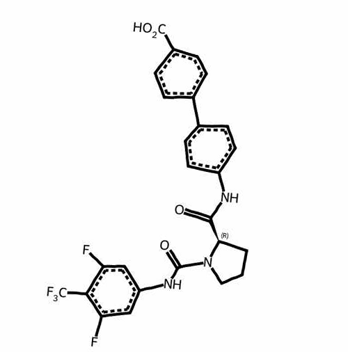 O=C(O)c1ccc(-c2ccc(NC(=O)[C@H]3CCCN3C(=O)Nc3cc(F)c(C(F)(F)F)c(F)c3)cc2)cc1